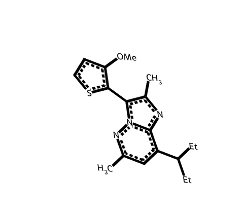 CCC(CC)c1cc(C)nn2c(-c3sccc3OC)c(C)nc12